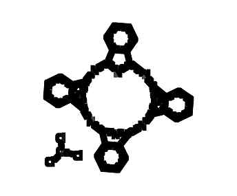 [Cl][Ga]([Cl])[Cl].c1ccc2c(c1)-c1nc-2nc2[nH]c(nc3nc(nc4[nH]c(n1)c1ccccc41)-c1ccccc1-3)c1ccccc21